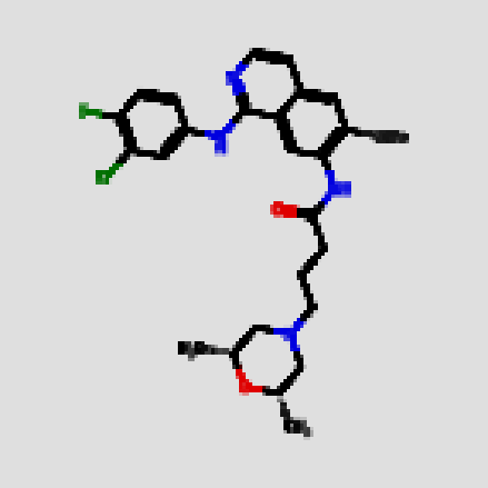 COc1cc2ccnc(Nc3ccc(F)c(Cl)c3)c2cc1NC(=O)CCCN1C[C@@H](C)O[C@@H](C)C1